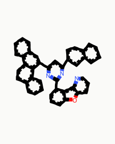 c1ccc2cc(-c3cc(-c4cc5ccccc5c5ccc6ccccc6c45)nc(-c4cccc5oc6cccnc6c45)n3)ccc2c1